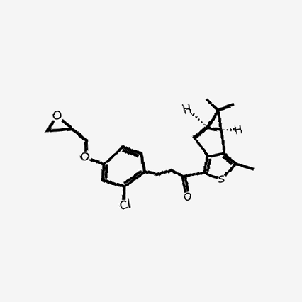 Cc1sc(C(=O)CCc2ccc(OCC3CO3)cc2Cl)c2c1[C@H]1[C@@H](C2)C1(C)C